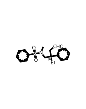 CC[C@](CC=O)(CN(C)S(=O)(=O)c1ccccc1)c1ccccc1